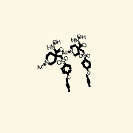 CC#CCOc1ccc(S(=O)(=O)CC2(C(=O)NO)CCN(C(C)=O)CC2)cc1.CC#CCOc1ccc(S(=O)(=O)CC2(C(=O)NO)CCN(C(C)=O)CC2)cc1